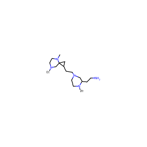 CCN1CCN(C)C2(CC2CCN2CCN(C(C)C)C(CCN)C2)C1